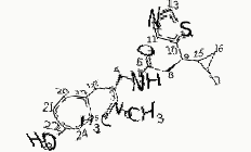 CN(C)[C@H](CNC(=O)C[C@@H](c1cncs1)C1CC1)Cc1ccc(O)cc1